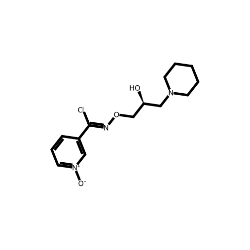 [O-][n+]1cccc(C(Cl)=NOC[C@@H](O)CN2CCCCC2)c1